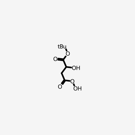 CC(C)(C)OC(=O)C(O)CC(=O)OO